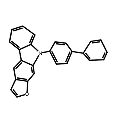 c1ccc(-c2ccc(-n3c4ccccc4c4cc5ccoc5cc43)cc2)cc1